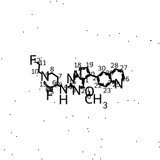 COc1nc(N[C@@H]2CCN(CCF)C[C@@H]2F)nn2ccc(-c3ccc4ncccc4c3)c12